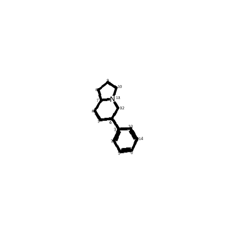 c1ccc(C2CCC3CCCN3C2)cc1